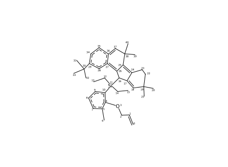 C=CCOc1c(C)cccc1[Si](CC)(CC)C1C2=CC(C)(C)CCC2=C2C1=c1cc(C(C)(C)C)ccc1=CC2(C)C